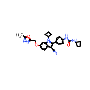 Cc1nnc(COc2ccc3c(C#N)c(-c4ccc(NC(=O)NC5CCC5)cc4)n(C4CCC4)c3c2)o1